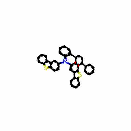 c1ccc(-c2ccc(-c3ccccc3N(c3ccc4sc5ccccc5c4c3)c3ccc4sc5ccccc5c4c3)cc2)cc1